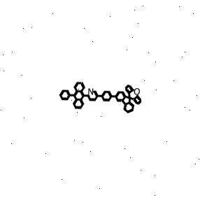 c1ccc(-c2c3ccccc3c(-c3ccc(-c4ccc(-c5ccc6c(c5)-c5ccccc5C65c6ccccc6Oc6ccccc65)cc4)cn3)c3ccccc23)cc1